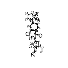 CC[C@H]1C[C@@H](NC(=O)c2ccc(N3CCCS3(=O)=O)cc2Cl)[C@@H](C)N1C#N